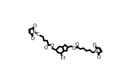 CCC1CC(COC(=O)CCCCCN2C(=O)C=CC2=O)CC2CC(COC(=O)CCCCCN3C(=O)C=CC3=O)CC12